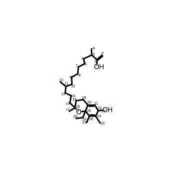 C=C(O)C(C)CCCCCCC(C)CCCC1(C)CCC2=CC(O)C(C)=C(C)C2(CC)O1